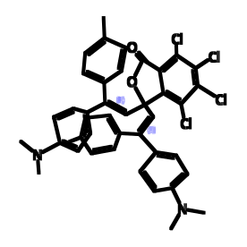 Cc1ccc(/C(=C\C2(/C=C(\c3ccc(C)cc3)c3ccc(N(C)C)cc3)OC(=O)c3c(Cl)c(Cl)c(Cl)c(Cl)c32)c2ccc(N(C)C)cc2)cc1